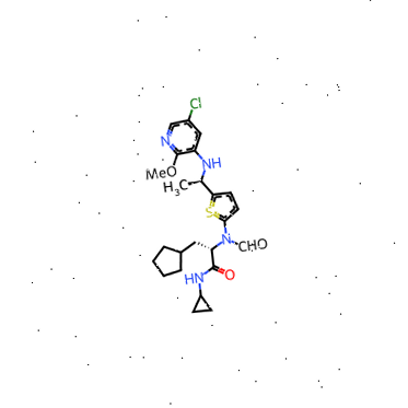 COc1ncc(Cl)cc1N[C@H](C)c1ccc(N(C=O)[C@@H](CC2CCCC2)C(=O)NC2CC2)s1